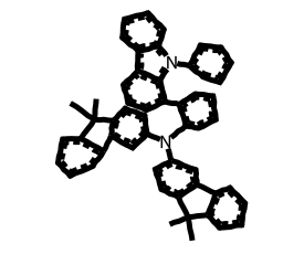 CC1(C)c2ccccc2-c2cc(N(c3ccc4c(c3)-c3ccccc3C4(C)C)c3ccccc3-c3cccc4c5ccccc5n(-c5ccccc5)c34)ccc21